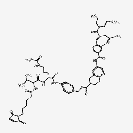 CCCN(CCC)C(=O)C1=Cc2ccc(C(=O)Nc3cnc4c(c3)CC(C(=O)OCc3ccc(NC(=O)[C@H](CCCNC(N)=O)NC(=O)[C@@H](NC(=O)CCCCCN5C(=O)C=CC5=O)C(C)C)cc3)CC4)cc2N=C(N)C1